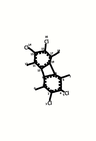 Cc1c(Cl)c(Cl)c(C)c2c1-c1c(C)c(Cl)c(Cl)c(C)c1-2